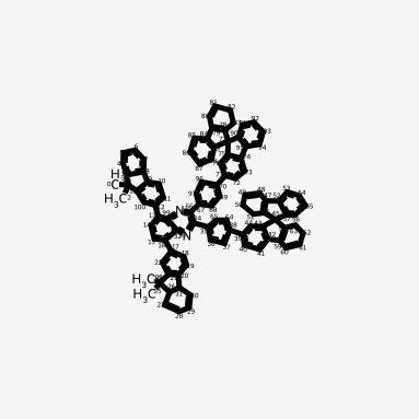 CC1(C)c2ccccc2-c2ccc(-c3ccc(-c4ccc5c(c4)C(C)(C)C4C=CC=CC54)c4nc(-c5ccc(-c6ccc7c(c6)C6(C8=C(C=CCC8)c8ccccc86)C6=C7C=CCC6)cc5)c(-c5ccc(-c6ccc7c(c6)C6(C8=C(C=CCC8)c8ccccc86)c6ccccc6-7)cc5)nc34)cc21